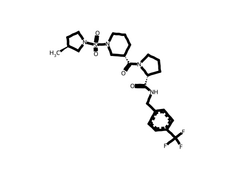 C[C@H]1CCN(S(=O)(=O)N2CCC[C@H](C(=O)N3CCC[C@@H]3C(=O)NCc3ccc(C(F)(F)F)cc3)C2)C1